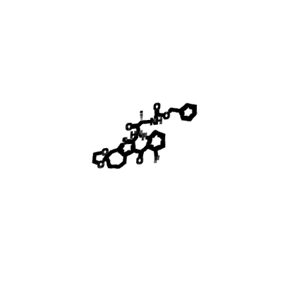 C[C@H](NC(=O)OCc1ccccc1)C(=O)Nc1sc2c(c1C(=O)c1c(F)cccc1F)CCCC1(C2)OCCO1